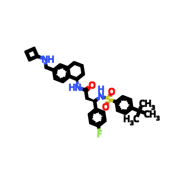 CC(C)(C)c1ccc(S(=O)(=O)N[C@H](CC(=O)N[C@@H]2CCCc3cc(CNC4CCC4)ccc32)c2ccc(F)cc2)cc1